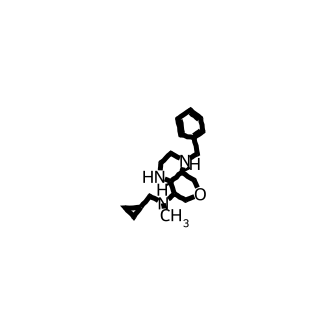 CN(CC1CC1)C1COC[C@@H]2[C@@H]1NCCN2Cc1ccccc1